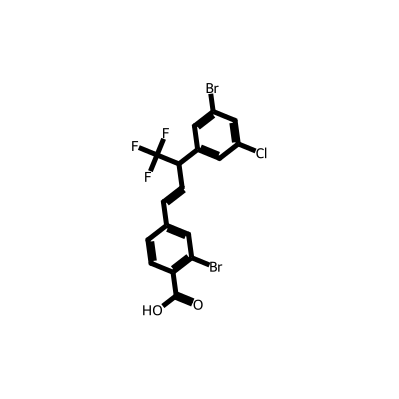 O=C(O)c1ccc(/C=C/C(c2cc(Cl)cc(Br)c2)C(F)(F)F)cc1Br